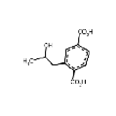 CC(O)Cc1cc(C(=O)O)ccc1C(=O)O